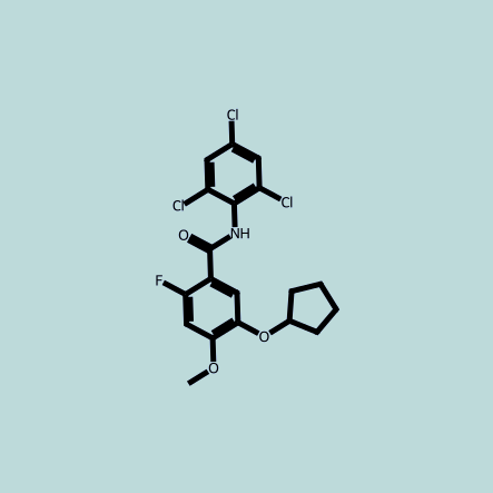 COc1cc(F)c(C(=O)Nc2c(Cl)cc(Cl)cc2Cl)cc1OC1CCCC1